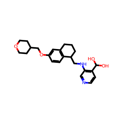 OC(O)c1ccncc1NCC1CCCc2cc(OCC3CCOCC3)ccc21